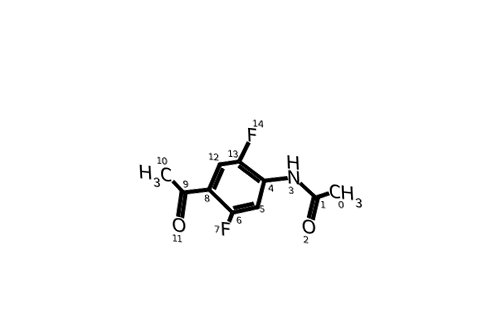 CC(=O)Nc1cc(F)c(C(C)=O)cc1F